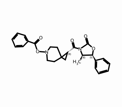 C[C@@H]1[C@H](c2ccccc2)OC(=O)N1C(=O)[C@@H]1CC12CCN(OC(=O)c1ccccc1)CC2